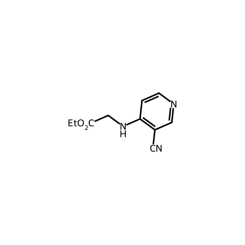 CCOC(=O)CNc1ccncc1C#N